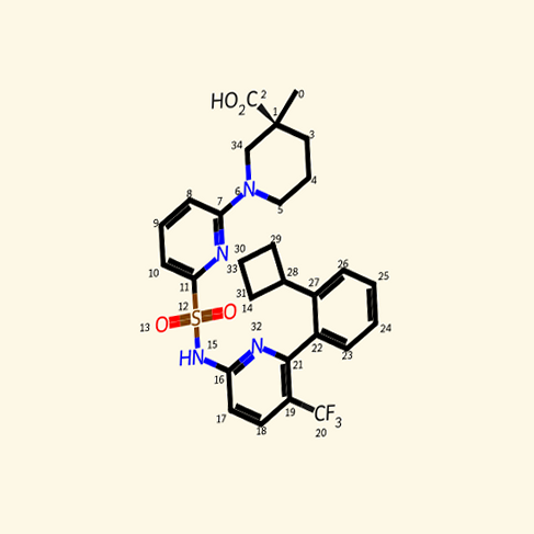 C[C@]1(C(=O)O)CCCN(c2cccc(S(=O)(=O)Nc3ccc(C(F)(F)F)c(-c4ccccc4C4CCC4)n3)n2)C1